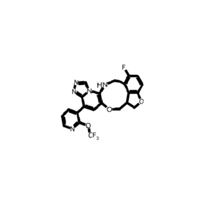 Fc1ccc2c3c1CNc1c(cc(-c4cccnc4OC(F)(F)F)c4nncn14)OCC3CO2